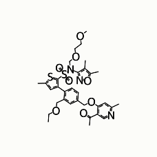 CCOCc1cc(COc2cc(C)ncc2C(C)=O)ccc1-c1cc(C)sc1S(=O)(=O)N(COCCOC)c1noc(C)c1C